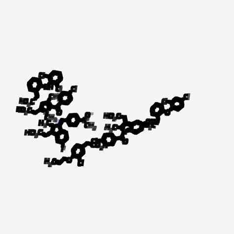 C=CCOc1ccc(CC(=O)O)cc1Cl.CC1=C(CC(=O)O)c2cc(F)ccc2/C1=C\c1ccc([S+](C)[O-])cc1.COc1ccc2c(c1)c(CC(=O)O)c(C)n2C(=O)c1ccc(Cl)cc1.Cc1cc(CC(=O)O)n(C)c1C(=O)c1ccc(Cl)cc1.O=C(O)Cc1ccccc1Nc1c(Cl)cccc1Cl.O=C(O)Cc1ccccc1Oc1ccc(Cl)cc1Cl